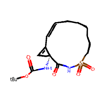 CC(C)(C)OC(=O)N[C@]12C=C1/C=C\CCCCCS(=O)(=O)NC2=O